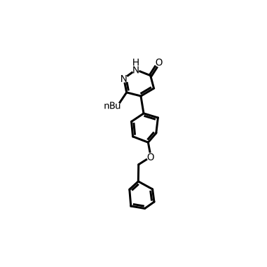 CCCCc1n[nH]c(=O)cc1-c1ccc(OCc2ccccc2)cc1